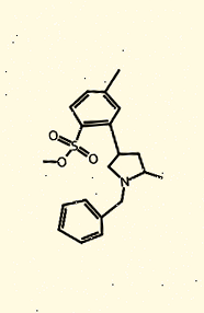 COS(=O)(=O)c1ccc(C)cc1C1CC(C)N(Cc2ccccc2)C1